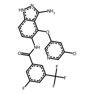 Nc1n[nH]c2ccc(NC(=O)c3cc(F)cc(C(F)(F)F)c3)c(Oc3cncc(Cl)c3)c12